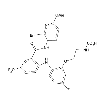 COc1ccc(NC(=O)c2cc(C(F)(F)F)ccc2Nc2ccc(F)cc2OCCNC(=O)O)c(Br)n1